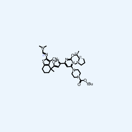 C[C@H](Oc1nc(-c2cc(C3(C)CCCc4sc(/N=C/N(C)C)c(C#N)c43)on2)cc(N2CCN(C(=O)OC(C)(C)C)CC2)n1)[C@@H]1CCCN1C